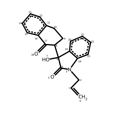 C=CCN1C(=O)C(O)(C2CCc3ccccc3C2=O)c2ccccc21